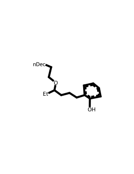 CCCCCCCCCCCCOC(CC)CCCc1ccccc1O